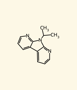 CC(C)n1c2ncccc2c2cccnc21